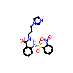 O=C(NCCCn1ccnc1)c1ccccc1NS(=O)(=O)c1ccccc1[N+](=O)[O-]